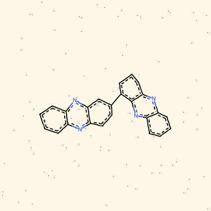 c1ccc2nc3cc(-c4cccc5nc6ccccc6nc45)ccc3nc2c1